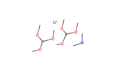 COB(OC)OC.COB(OC)OC.C[N-]C.[Li+]